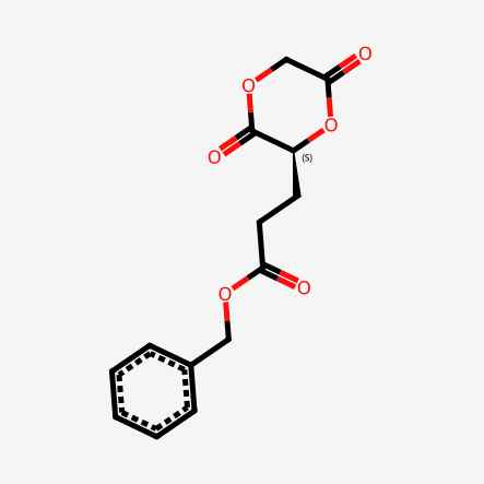 O=C(CC[C@@H]1OC(=O)COC1=O)OCc1ccccc1